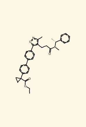 CCOC(=O)C1(c2ccc(-c3ccc(-c4onc(C)c4CCC(=O)N(C)[C@H](C)c4ccccc4)cc3)cc2)CC1